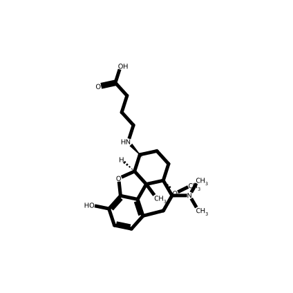 CO[C@@]12CC[C@H](NCCCC(=O)O)[C@@H]3Oc4c(O)ccc(c4C31C)CC2N(C)C